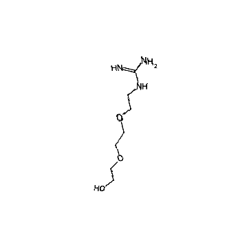 N=C(N)NCCOCCOCCO